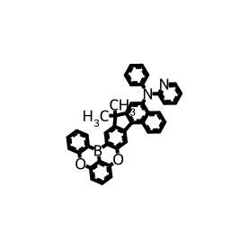 CC1(C)c2cc3c(cc2-c2c1cc(N(c1ccccc1)c1ccccn1)c1ccccc21)Oc1cccc2c1B3c1ccccc1O2